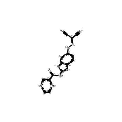 N#CC(C#N)=NNc1ccc2sc(NC(=O)c3cnccn3)nc2c1